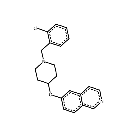 Clc1ccccc1CN1CCC(Oc2ccc3cnccc3c2)CC1